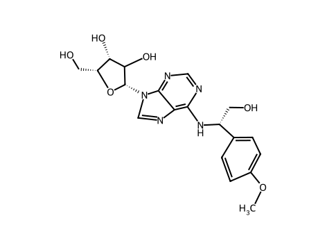 COc1ccc([C@@H](CO)Nc2ncnc3c2ncn3[C@@H]2O[C@H](CO)[C@H](O)C2O)cc1